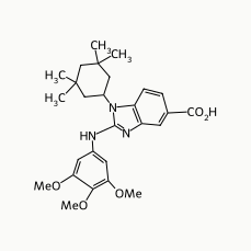 COc1cc(Nc2nc3cc(C(=O)O)ccc3n2C2CC(C)(C)CC(C)(C)C2)cc(OC)c1OC